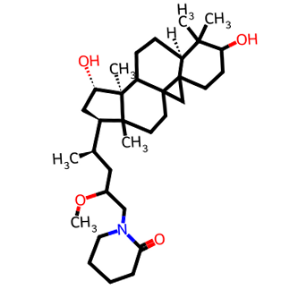 COC(C[C@@H](C)[C@H]1C[C@H](O)[C@@]2(C)C3CC[C@H]4C(C)(C)C(O)CCC45CC35CCC12C)CN1CCCCC1=O